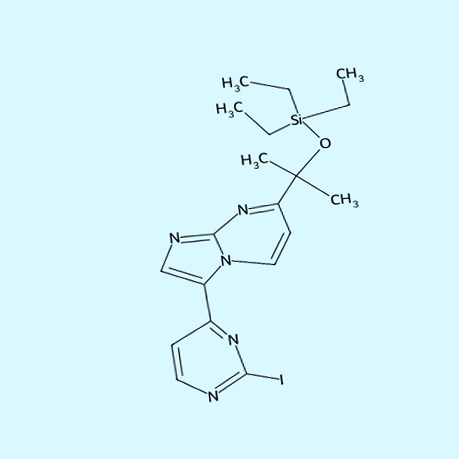 CC[Si](CC)(CC)OC(C)(C)c1ccn2c(-c3ccnc(I)n3)cnc2n1